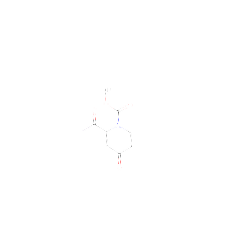 CC(C)(C)OC(=O)N1CCC(=O)CC1C(=O)I